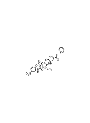 C[C@H](NC(=O)C1(C)Oc2ccc([N+](=O)[O-])cc2NC1=O)C(=O)N[C@H](CCC(=O)OCc1ccccc1)C(N)=O